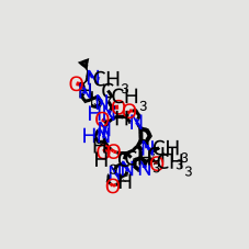 CCn1c(-c2cc(N3CCN4CCOC[C@@H]4C3)cnc2[C@H](C)OC)c2c3cc(ccc31)N1CCO[C@@H](C[C@H](NC(=O)[C@H](C(C)C)N3CC[C@]4(CCN(C(=O)[C@H]5[C@@H](C6CC6)N5C)C4)C3)C(=O)N3CCC[C@H](N3)C(=O)OCC(C)(C)C2)C1